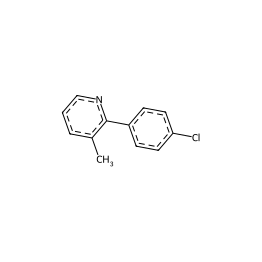 Cc1cccnc1-c1ccc(Cl)cc1